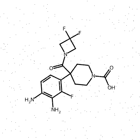 Nc1ccc(C2(C(=O)N3CC(F)(F)C3)CCN(C(=O)O)CC2)c(F)c1N